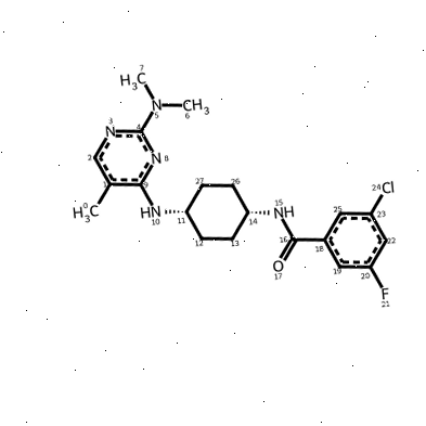 Cc1cnc(N(C)C)nc1N[C@H]1CC[C@@H](NC(=O)c2cc(F)cc(Cl)c2)CC1